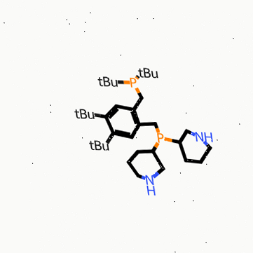 CC(C)(C)c1cc(CP(C2CCCNC2)C2CCCNC2)c(CP(C(C)(C)C)C(C)(C)C)cc1C(C)(C)C